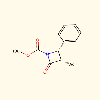 CC(=O)[C@@H]1C(=O)N(C(=O)OC(C)(C)C)[C@@H]1c1ccccc1